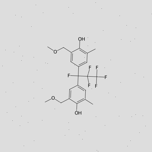 COCc1cc(C(F)(c2cc(C)c(O)c(COC)c2)C(F)(F)C(F)(F)F)cc(C)c1O